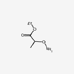 CCOC(=O)C(C)ON